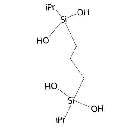 CC(C)[Si](O)(O)CCC[Si](O)(O)C(C)C